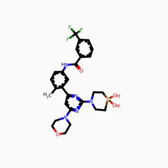 Cc1ccc(NC(=O)c2cccc(C(F)(F)F)c2)cc1-c1cc(N2CCOCC2)nc(N2CCS(O)(O)CC2)n1